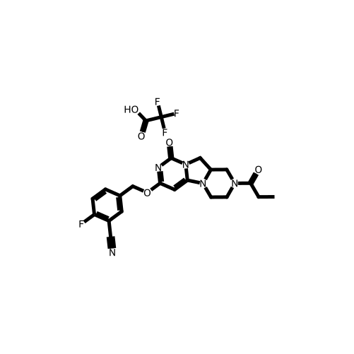 CCC(=O)N1CCN2c3cc(OCc4ccc(F)c(C#N)c4)nc(=O)n3CC2C1.O=C(O)C(F)(F)F